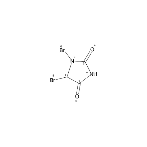 O=C1NC(=O)N(Br)C1Br